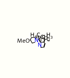 C=C(C)/C(=c1/ncccc1=C(C)C)N1CCC(OC)CC1